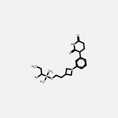 CC[CH]([Fe])[Si](C)(C)OCCC1CN(c2cccc(C3CCC(=O)NC3=O)c2)C1